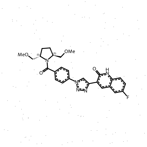 COC[C@@H]1CC[C@@H](COC)N1C(=O)c1ccc(-n2cc(-c3cc4cc(F)ccc4[nH]c3=O)nn2)cc1